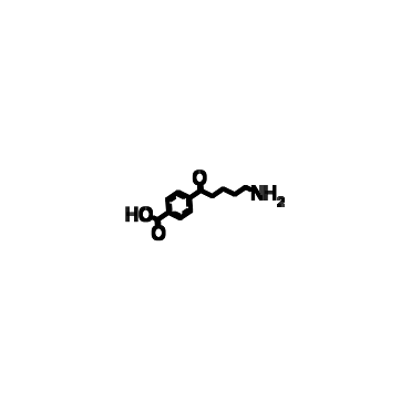 NCCCCC(=O)c1ccc(C(=O)O)cc1